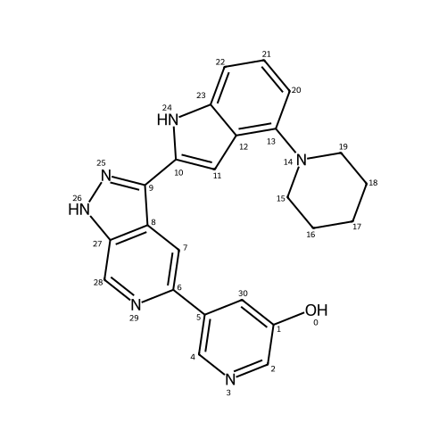 Oc1cncc(-c2cc3c(-c4cc5c(N6CCCCC6)cccc5[nH]4)n[nH]c3cn2)c1